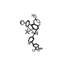 Cc1cc2nc(-c3ccnc(-c4ccc5c(c4)c(=O)n(C)n5C)c3)sc2c(-c2ccc(Cl)cc2OC(C)(C)C)c1CC(=O)O